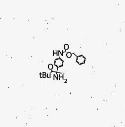 [CH2]C(N)(C(=O)C(C)(C)C)c1ccc(NC(=O)OCc2ccccc2)cc1